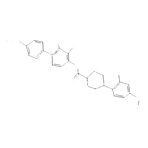 CCCCCc1ccc(-c2ccc(OC(=O)C3CCC(c4ccc(OCC)cc4F)CC3)c(F)c2F)cc1